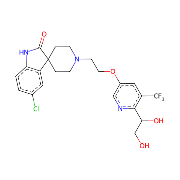 O=C1Nc2ccc(Cl)cc2C12CCN(CCOc1cnc(C(O)CO)c(C(F)(F)F)c1)CC2